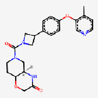 Cc1ccncc1Oc1ccc(C2CN(C(=O)N3CCC4OCC(=O)N[C@@H]4C3)C2)cc1